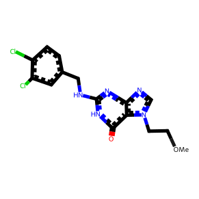 COCCn1cnc2nc(NCc3ccc(Cl)c(Cl)c3)[nH]c(=O)c21